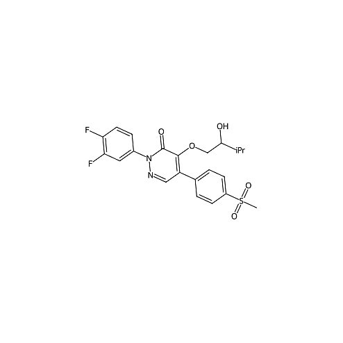 CC(C)C(O)COc1c(-c2ccc(S(C)(=O)=O)cc2)cnn(-c2ccc(F)c(F)c2)c1=O